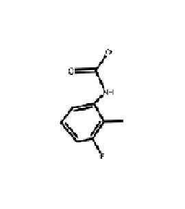 Cc1c(F)cccc1NC([O])=O